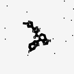 Cn1cc(-c2nnc(C(=O)N3CCc4[nH]cnc4C3c3cc4ccc(F)cn4n3)o2)cn1